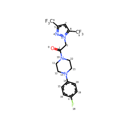 O=C(Cn1nc(C(F)(F)F)cc1C(F)(F)F)N1CCN(c2ccc(F)cc2)CC1